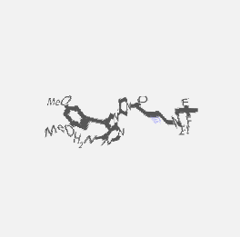 CCN(C/C=C/C(=O)N1CC[C@H](n2cc(-c3cc(OC)cc(OC)c3)c3c(N)ncnc32)C1)CC(C)(F)F